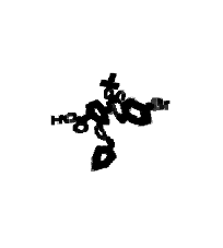 CC(C)(C)OC(=O)N(Cc1ccc(Br)cc1)c1ccc(C(=O)O)c(OCc2ccccc2)c1